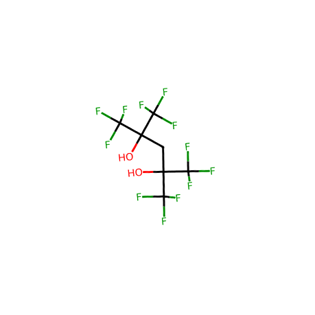 OC(CC(O)(C(F)(F)F)C(F)(F)F)(C(F)(F)F)C(F)(F)F